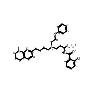 O=C(NC(CCN(CCCCc1ccc2c(n1)NCCC2)CCOc1ccccc1)C(=O)O)c1ccccc1Cl